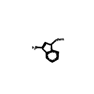 CCCCCC1C=C(N)c2ccccc21